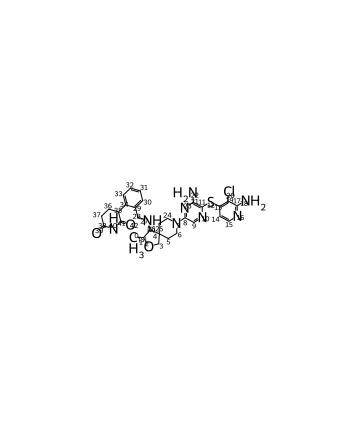 C[C@@H]1OCC2(CCN(c3cnc(Sc4ccnc(N)c4Cl)c(N)n3)CC2)[C@@H]1NCc1ccccc1C1CCC(=O)NC1=O